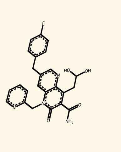 NC(=O)c1c(CC(O)O)c2ncc(Cc3ccc(F)cc3)cc2n(Cc2ccccn2)c1=O